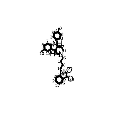 Cc1ccc(N2c3ccc(C)cc3[C@@H]3CN(CCCCN4C(=O)C(=O)c5ccccc54)CC[C@H]32)cc1